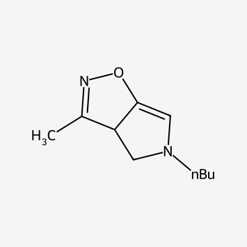 CCCCN1C=C2ON=C(C)C2C1